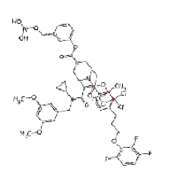 COc1cc(CN(C(=O)C2=C(c3ccc(CCCOc4c(F)ccc(F)c4F)cc3)CC3CN(C(=O)Oc4cccc(CON(O)O)c4)CC2N3C(=O)OC(C)(C)C(Cl)(Cl)Cl)C2CC2)cc(OC)c1